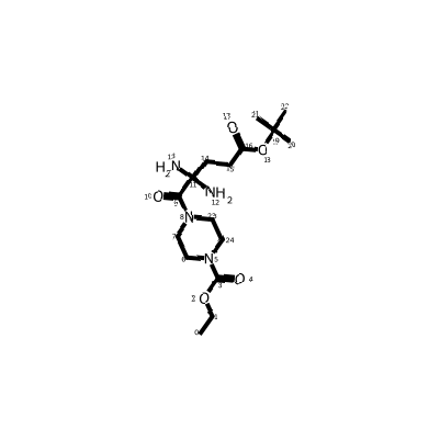 CCOC(=O)N1CCN(C(=O)C(N)(N)CCC(=O)OC(C)(C)C)CC1